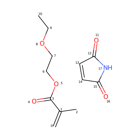 C=C(C)C(=O)OCCOCC.O=C1C=CC(=O)N1